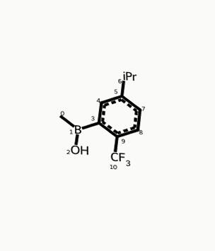 CB(O)c1cc(C(C)C)ccc1C(F)(F)F